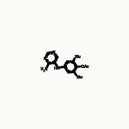 CC(=O)Oc1c(C(C)(C)C)cc(Nc2cncnc2N)cc1C(C)(C)C